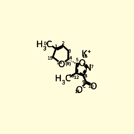 CC1=CC[C@H](c2onc(C(=O)[O-])c2C)OC1.[K+]